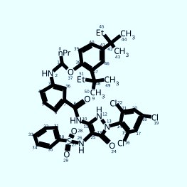 CCCC(Nc1cccc(C(=O)Nc2[nH]n(-c3c(Cl)cc(Cl)cc3Cl)c(=O)c2NS(=O)(=O)c2ccccc2)c1)Oc1ccc(C(C)(C)CC)cc1C(C)(C)CC